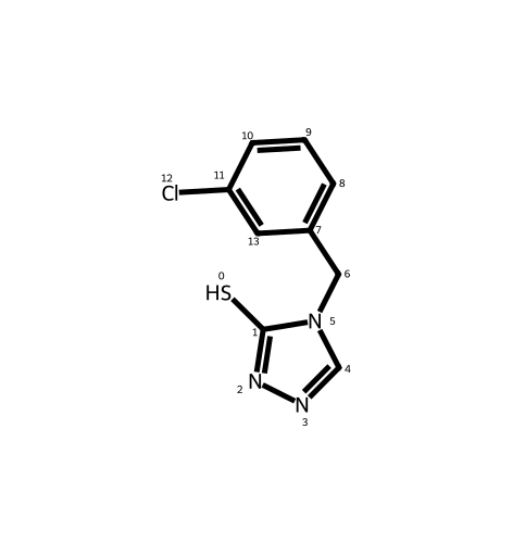 Sc1nncn1Cc1cccc(Cl)c1